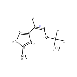 C/C(=N/OC(C)(C)C(=O)O)c1csc(N)n1